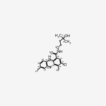 CC(C)(O)CCONC(=O)c1cc(Cl)c(F)cc1Nc1ccc(I)cc1F